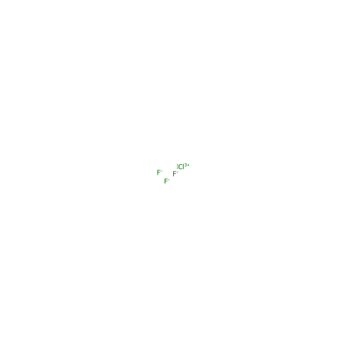 [Cl+3].[F-].[F-].[F-]